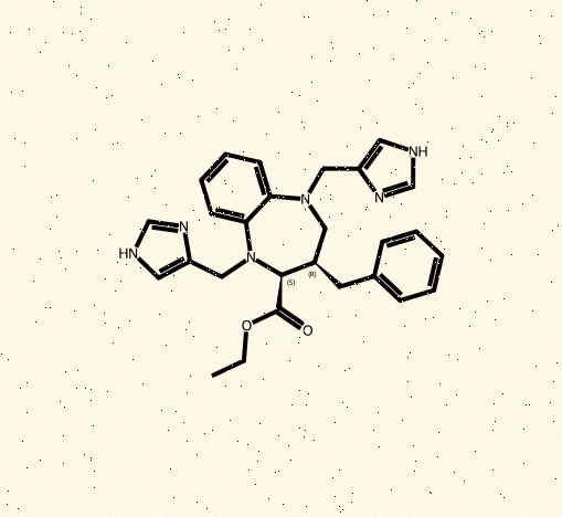 CCOC(=O)[C@@H]1[C@H](Cc2ccccc2)CN(Cc2c[nH]cn2)c2ccccc2N1Cc1c[nH]cn1